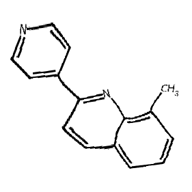 Cc1cccc2ccc(-c3ccncc3)nc12